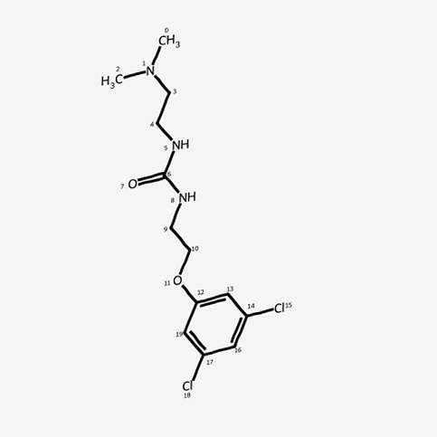 CN(C)CCNC(=O)NCCOc1cc(Cl)cc(Cl)c1